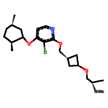 CC(=O)N[C@@H](C)CO[C@H]1C[C@H](COc2nccc(OC3C[C@@H](C)CC[C@@H]3C)c2Cl)C1